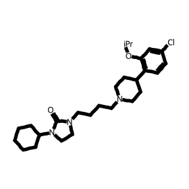 CC(C)Oc1cc(Cl)ccc1C1CCN(CCCCN2CCN(C3CCCCC3)C2=O)CC1